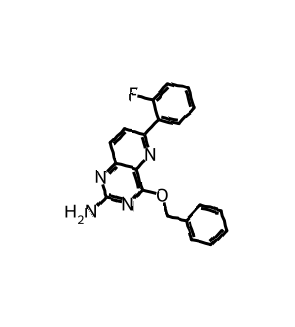 Nc1nc(OCc2ccccc2)c2nc(-c3ccccc3F)ccc2n1